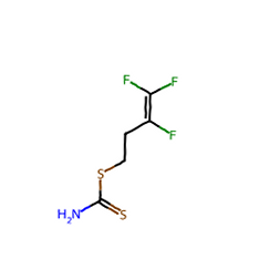 NC(=S)SCCC(F)=C(F)F